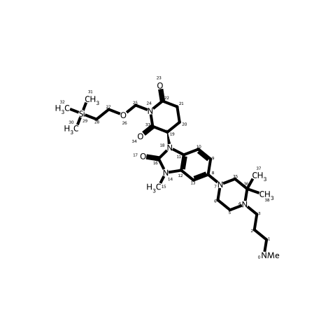 CNCCCN1CCN(c2ccc3c(c2)n(C)c(=O)n3[C@@H]2CCC(=O)N(COCC[Si](C)(C)C)C2=O)CC1(C)C